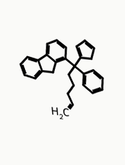 C=CCCCC(C1=CC=CC1)(c1ccccc1)c1cccc2c1Cc1ccccc1-2